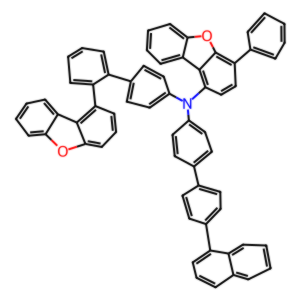 c1ccc(-c2ccc(N(c3ccc(-c4ccc(-c5cccc6ccccc56)cc4)cc3)c3ccc(-c4ccccc4-c4cccc5oc6ccccc6c45)cc3)c3c2oc2ccccc23)cc1